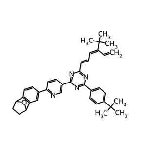 C=C/C(=C\C=C\c1nc(-c2ccc(C(C)(C)C)cc2)nc(-c2ccc(-c3ccc4c(c3)C3CCC4O3)nc2)n1)C(C)(C)C